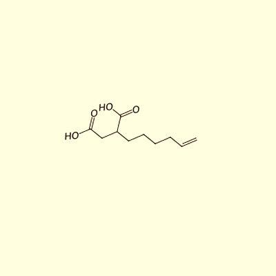 C=CCCCCC(CC(=O)O)C(=O)O